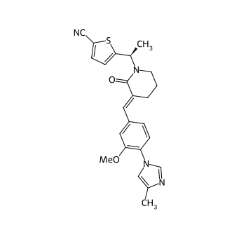 COc1cc(/C=C2\CCCN([C@H](C)c3ccc(C#N)s3)C2=O)ccc1-n1cnc(C)c1